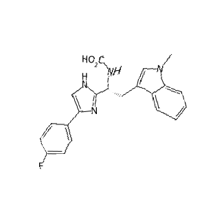 Cn1cc(C[C@@H](NC(=O)O)c2nc(-c3ccc(F)cc3)c[nH]2)c2ccccc21